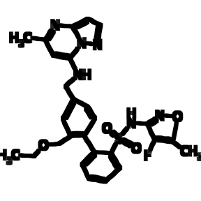 CCOCc1cc(CNc2cc(C)nc3ccnn23)ccc1-c1ccccc1S(=O)(=O)Nc1noc(C)c1F